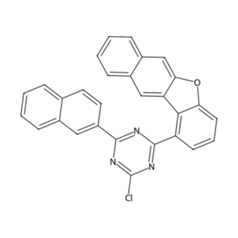 Clc1nc(-c2ccc3ccccc3c2)nc(-c2cccc3oc4cc5ccccc5cc4c23)n1